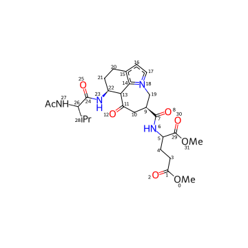 COC(=O)CCC(NC(=O)[C@H]1CC(=O)C2c3c(ccn3C1)CC[C@@H]2NC(=O)C(NC(C)=O)C(C)C)C(=O)OC